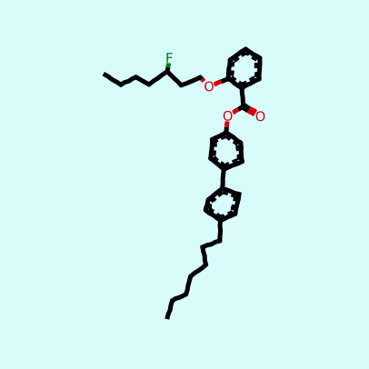 CCCCCCCc1ccc(-c2ccc(OC(=O)c3ccccc3OCCC(F)CCCC)cc2)cc1